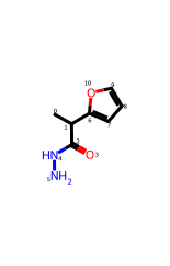 CC(C(=O)NN)c1ccco1